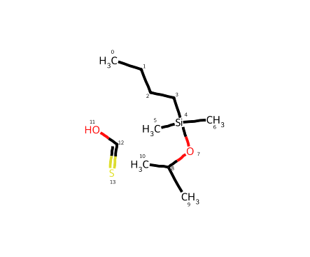 CCCC[Si](C)(C)OC(C)C.OC=S